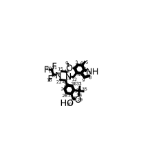 COc1cc(C)c2[nH]ccc2c1CN1CCN(C(F)C(F)F)CC1c1ccc(C(=O)O)c(C(C)(C)C)c1